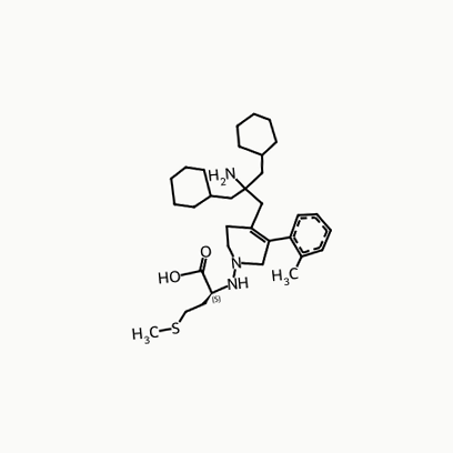 CSCC[C@H](NN1CCC(CC(N)(CC2CCCCC2)CC2CCCCC2)=C(c2ccccc2C)C1)C(=O)O